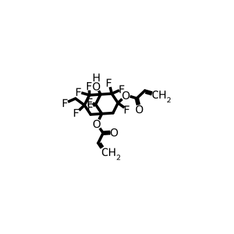 C=CC(=O)OC1(F)CC2(OC(=O)C=C)CC(F)(CF)C(F)(F)C(O)(C1(F)F)C2(F)F